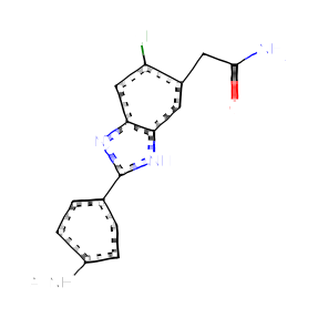 CC(=O)Nc1ccc(-c2nc3cc(Cl)c(CC(N)=O)cc3[nH]2)cc1